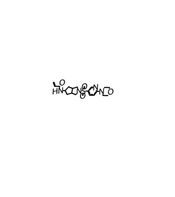 C=CC(=O)NC1CC2CN(S(=O)(=O)c3ccc(N4CCOCC4)nc3)CC2C1